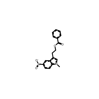 Cn1cc(CCOC(=O)c2ccccc2)c2cc([N+](=O)[O-])ccc21